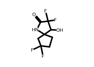 O=C1NC2(CCC(F)(F)C2)C(O)C1(F)F